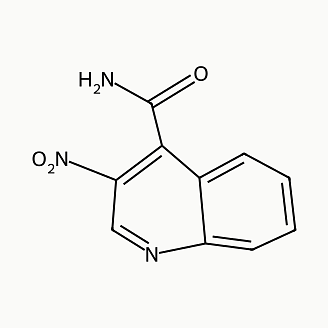 NC(=O)c1c([N+](=O)[O-])cnc2ccccc12